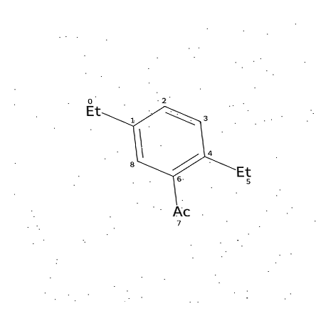 CCc1ccc(CC)c(C(C)=O)c1